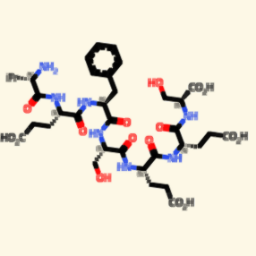 CC(C)[C@H](N)C(=O)N[C@@H](CCC(=O)O)C(=O)N[C@@H](Cc1ccccc1)C(=O)N[C@@H](CO)C(=O)N[C@@H](CCC(=O)O)C(=O)N[C@@H](CCC(=O)O)C(=O)N[C@@H](CO)C(=O)O